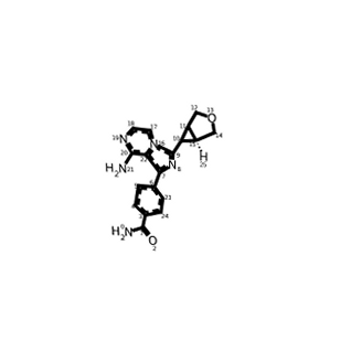 NC(=O)c1ccc(-c2nc(C3C4COC[C@H]43)n3ccnc(N)c23)cc1